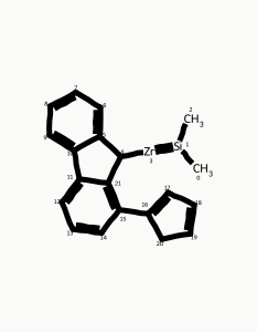 C[Si](C)=[Zr][CH]1c2ccccc2-c2cccc(C3=CC=CC3)c21